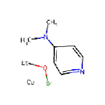 CCOBr.CN(C)c1ccncc1.[Cu]